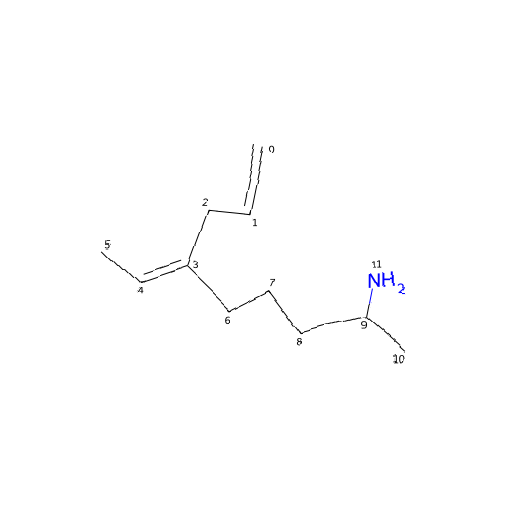 C=CC/C(=C\C)CCCC(C)N